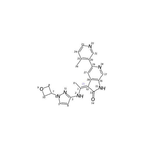 C/C(Nc1ccn(C2COC2)n1)=C1/C(=O)Nc2cnc(-c3cnccc3C)cc21